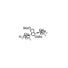 COc1ccc2c(C#C[Si](C)(C)C)c(OC)cc(C#C[Si](C)(C)C)c2c1